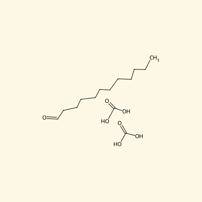 CCCCCCCCCCCC=O.O=C(O)O.O=C(O)O